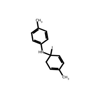 CC1=CCC(I)(Nc2ccc(C)cc2)C=C1